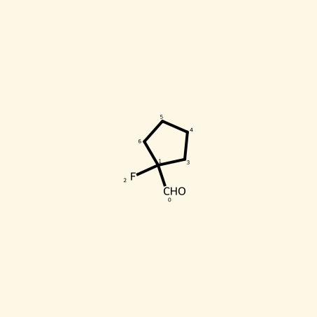 O=CC1(F)CCCC1